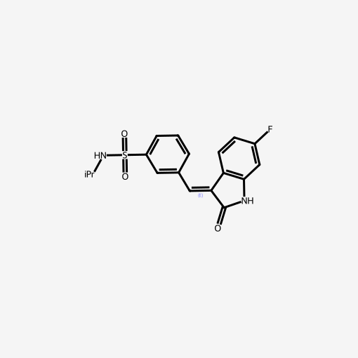 CC(C)NS(=O)(=O)c1cccc(/C=C2/C(=O)Nc3cc(F)ccc32)c1